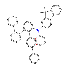 CC1(C)c2ccccc2-c2ccc(N(c3ccccc3)c3cccc(-c4ccccc4-c4ccccc4)c3-c3ccc(-c4ccccc4)cc3)cc21